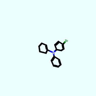 BrC1=CCC(N(C2=CCCCC2)c2ccccc2)C=C1